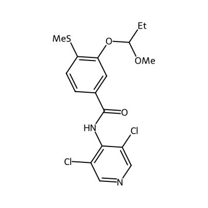 CCC(OC)Oc1cc(C(=O)Nc2c(Cl)cncc2Cl)ccc1SC